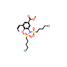 C/C=C\c1cc(C(=O)OC)cc(N(S(=O)(=O)CCCCCl)S(=O)(=O)CCCCCl)c1OC